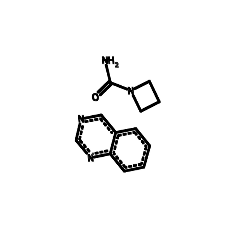 NC(=O)N1CCC1.c1ccc2ncncc2c1